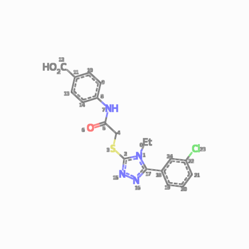 CCn1c(SCC(=O)Nc2ccc(C(=O)O)cc2)nnc1-c1cccc(Cl)c1